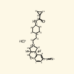 Cl.N#Cc1ccc2c(c1)[C@@H]1CN(CCC3CCC(NC(=O)C4CC4)CC3)C[C@H]1CO2